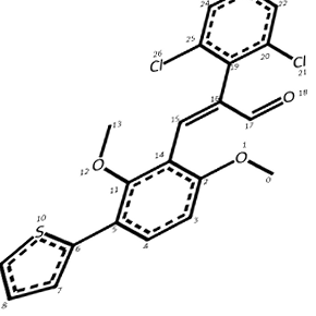 COc1ccc(-c2cccs2)c(OC)c1C=C(C=O)c1c(Cl)cccc1Cl